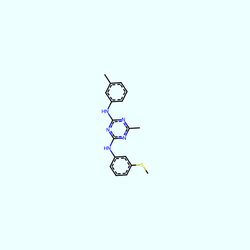 CSc1cccc(Nc2nc(C)nc(Nc3cccc(C)c3)n2)c1